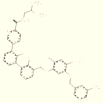 COC(CNC(=O)c1ccc(-c2cccc(-c3cccc(COc4cc(OCc5cncc(C#N)c5)c(C=O)cc4Cl)c3C)c2C)cn1)OC